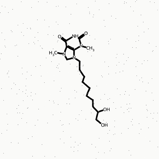 CN1CN(CCCCCCCCC(O)CO)c2c1c(=O)[nH]c(=O)n2C